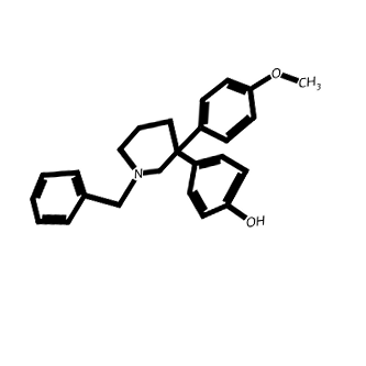 COc1ccc(C2(c3ccc(O)cc3)CCCN(Cc3ccccc3)C2)cc1